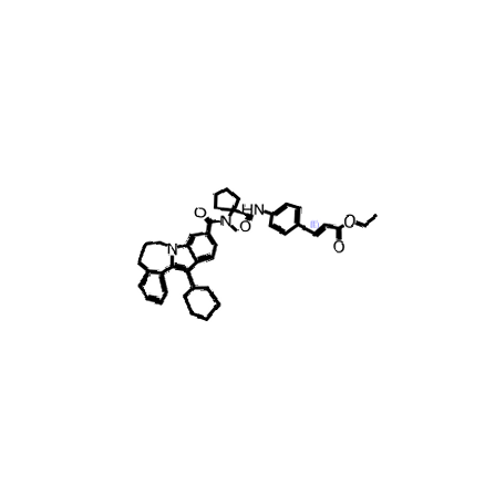 CCOC(=O)/C=C/c1ccc(NC(=O)C2(N(C)C(=O)c3ccc4c(C5CCCCC5)c5n(c4c3)CCCc3ccccc3-5)CCCC2)cc1